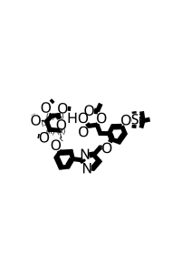 CO[C@H]1O[C@H](COc2cccc(-c3nccc(COc4ccc(O[Si](C)(C)C(C)(C)C)cc4CC(OC(C)=O)C(=O)O)n3)c2)[C@@H](OC)[C@H](OC)[C@@H]1OC